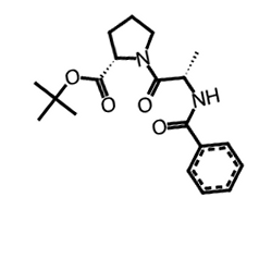 C[C@H](NC(=O)c1ccccc1)C(=O)N1CCC[C@H]1C(=O)OC(C)(C)C